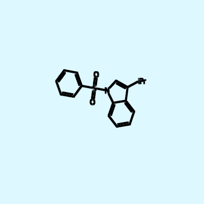 CC(C)c1cn(S(=O)(=O)c2ccccc2)c2ccccc12